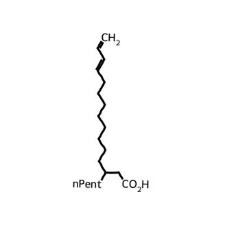 C=C/C=C/CCCCCCCCC(CCCCC)CC(=O)O